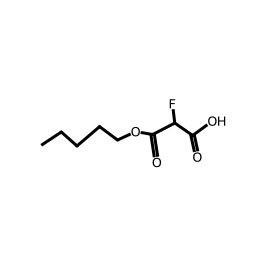 CCCCCOC(=O)C(F)C(=O)O